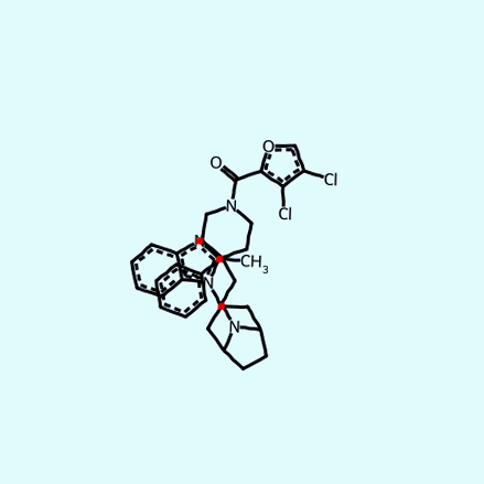 Cc1nc2ccccc2n1C1CC2CCC(C1)N2CCC1(c2ccccc2)CCN(C(=O)c2occ(Cl)c2Cl)CC1